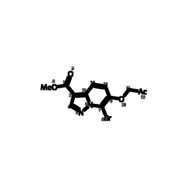 COC(=O)c1cnn2c(Br)c(OCC(C)=O)ccc12